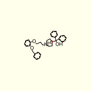 OC(c1ccccc1)(c1ccccc1)C12CC[N+](CCCOc3ccccc3OCc3ccccc3)(CC1)CC2